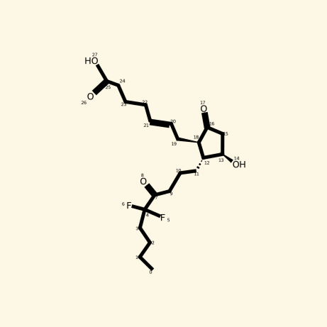 CCCCC(F)(F)C(=O)CCC[C@H]1[C@H](O)CC(=O)[C@@H]1CC=CCCCC(=O)O